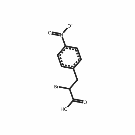 O=C(O)C(Br)Cc1ccc([N+](=O)[O-])cc1